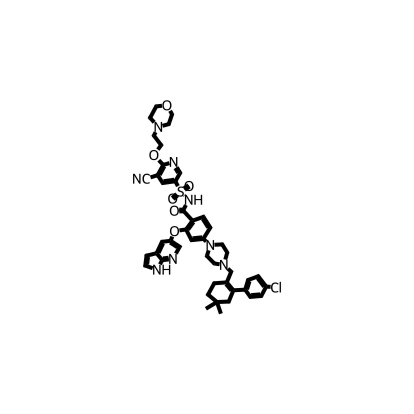 CC1(C)CCC(CN2CCN(c3ccc(C(=O)NS(=O)(=O)c4cnc(OCCN5CCOCC5)c(C#N)c4)c(Oc4cnc5[nH]ccc5c4)c3)CC2)=C(c2ccc(Cl)cc2)C1